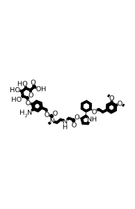 COc1ccc(CCO[C@@H]2CCCC[C@H]2C2NCC[C@@H]2OC(=O)CNCCN(C)C(=O)OCc2ccc(OC3OC(C(=O)O)C(O)C(O)C3O)c(N)c2)cc1OC